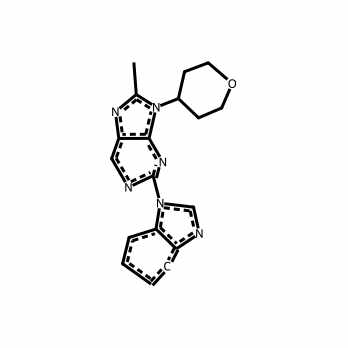 Cc1nc2cnc(-n3cnc4ccccc43)nc2n1C1CCOCC1